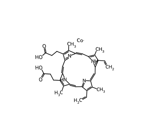 C=CC1=C(C)c2cc3[nH]c(cc4nc(cc5[nH]c(cc1n2)c(C)c5CCC(=O)O)C(CCC(=O)O)=C4C)c(C)c3C=C.[Co]